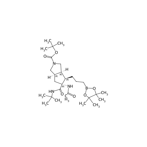 CC(=O)N[C@]1(C(=O)NC(C)(C)C)C[C@H]2CN(C(=O)OC(C)(C)C)C[C@H]2[C@H]1CCCB1OC(C)(C)C(C)(C)O1